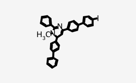 CN1C(c2ccccc2)=NC(c2ccc(-c3ccc(I)cc3)cc2)=CC1c1ccc(-c2ccccc2)cc1